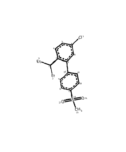 CCC(CC)c1ccc(Cl)cc1-c1ccc(S(C)(=O)=O)cc1